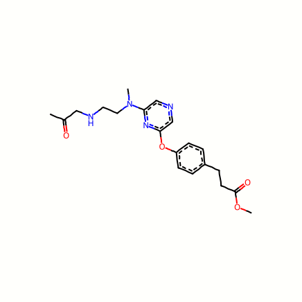 COC(=O)CCc1ccc(Oc2cncc(N(C)CCNCC(C)=O)n2)cc1